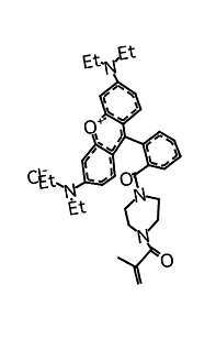 C=C(C)C(=O)N1CCN(C(=O)c2ccccc2-c2c3ccc(N(CC)CC)cc3[o+]c3cc(N(CC)CC)ccc23)CC1.[Cl-]